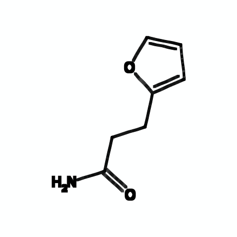 NC(=O)CCc1ccco1